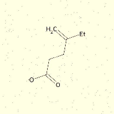 C=C(CC)CCC([O])=O